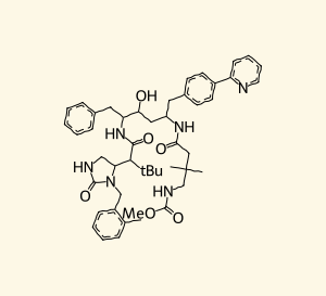 COC(=O)NCC(C)(C)CC(=O)NC(Cc1ccc(-c2ccccn2)cc1)CC(O)C(Cc1ccccc1)NC(=O)C(C1CNC(=O)N1Cc1ccccc1C)C(C)(C)C